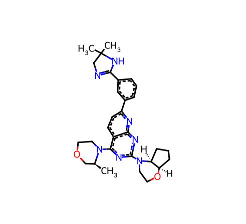 C[C@H]1COCCN1c1nc(N2CCO[C@@H]3CCC[C@@H]32)nc2nc(-c3cccc(C4=NCC(C)(C)N4)c3)ccc12